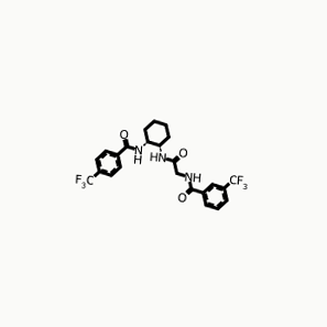 O=C(CNC(=O)c1cccc(C(F)(F)F)c1)N[C@H]1CCCC[C@H]1NC(=O)c1ccc(C(F)(F)F)cc1